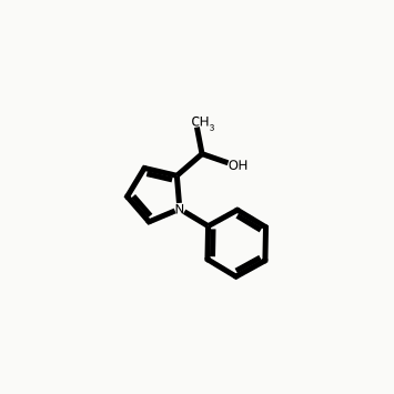 CC(O)c1cccn1-c1ccccc1